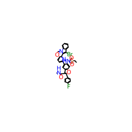 CCS(=O)(=O)Nc1cc2oc(-c3ccc(F)cc3)c(C(=O)NC)c2cc1-c1ccc2c(n1)-c1c(Br)c3ccccc3n1CO2